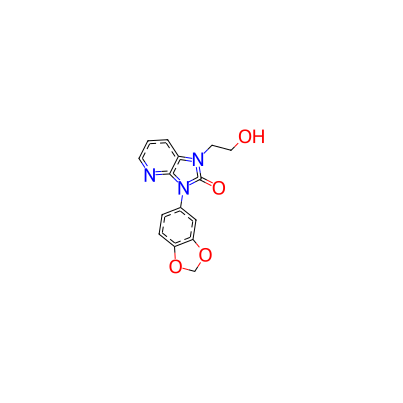 O=c1n(CCO)c2cccnc2n1-c1ccc2c(c1)OCO2